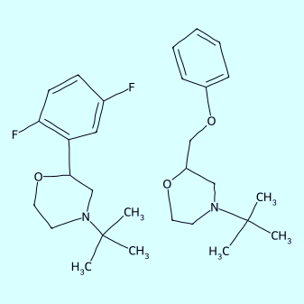 CC(C)(C)N1CCOC(COc2ccccc2)C1.CC(C)(C)N1CCOC(c2cc(F)ccc2F)C1